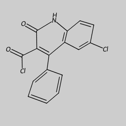 O=C(Cl)c1c(-c2ccccc2)c2cc(Cl)ccc2[nH]c1=O